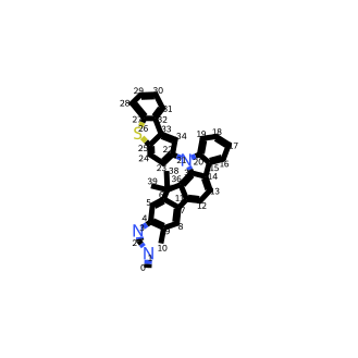 C=N/C=N\c1cc2c(cc1C)-c1ccc3c4ccccc4n(-c4ccc5sc6ccccc6c5c4)c3c1C2(C)C